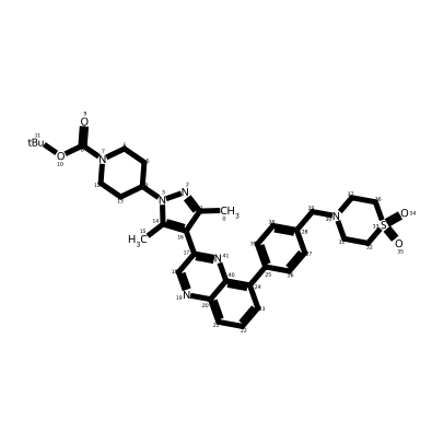 Cc1nn(C2CCN(C(=O)OC(C)(C)C)CC2)c(C)c1-c1cnc2cccc(-c3ccc(CN4CCS(=O)(=O)CC4)cc3)c2n1